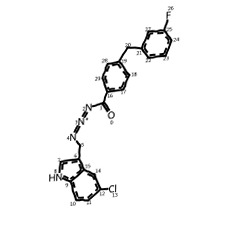 O=C(N=[N+]=NCc1c[nH]c2ccc(Cl)cc12)c1ccc(Cc2cccc(F)c2)cc1